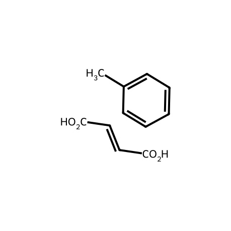 Cc1ccccc1.O=C(O)C=CC(=O)O